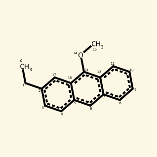 CCc1ccc2cc3ccccc3c(OC)c2c1